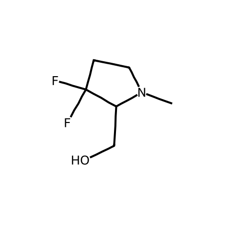 CN1CCC(F)(F)C1CO